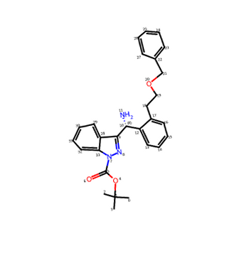 CC(C)(C)OC(=O)n1nc([C@H](N)c2ccccc2CCOCc2ccccc2)c2ccccc21